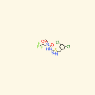 CCN(C[C@@H](O)C(F)(F)F)C(=O)Nc1nnc(Cc2cc(Cl)cc(Cl)c2)s1